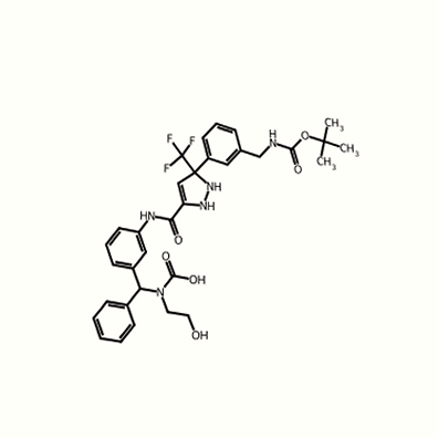 CC(C)(C)OC(=O)NCc1cccc(C2(C(F)(F)F)C=C(C(=O)Nc3cccc(C(c4ccccc4)N(CCO)C(=O)O)c3)NN2)c1